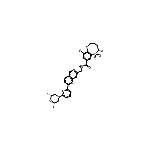 C[C@@H]1CN(c2cccc(-c3ccc4cnc(CNC(=O)c5cc(F)c6c(c5)S(=O)(=O)[C@H](F)CCCO6)cc4n3)n2)C[C@H](C)O1